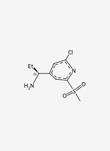 CC[C@H](N)c1cc(Cl)nc(S(C)(=O)=O)c1